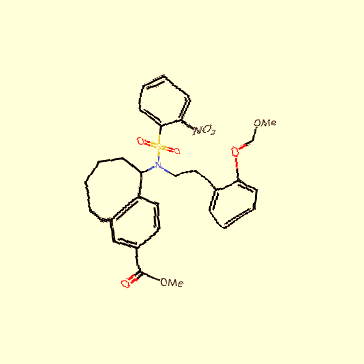 COCOc1ccccc1CCN(C1CCCCc2cc(C(=O)OC)ccc21)S(=O)(=O)c1ccccc1[N+](=O)[O-]